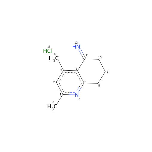 Cc1cc(C)c2c(n1)CCCC2=N.Cl